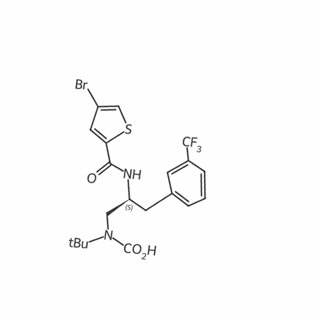 CC(C)(C)N(C[C@H](Cc1cccc(C(F)(F)F)c1)NC(=O)c1cc(Br)cs1)C(=O)O